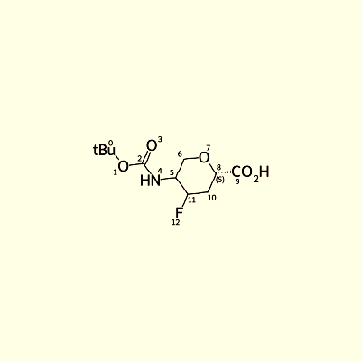 CC(C)(C)OC(=O)NC1CO[C@H](C(=O)O)CC1F